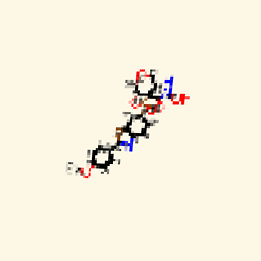 CCOc1ccc(-c2nc3ccc(S(=O)(=O)C4(C(=O)NO)CCOCC4)cc3s2)cc1